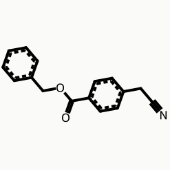 N#CCc1ccc(C(=O)OCc2ccccc2)cc1